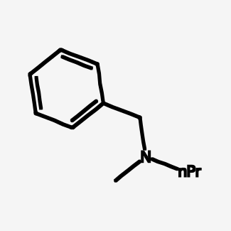 [CH2]CCN(C)Cc1ccccc1